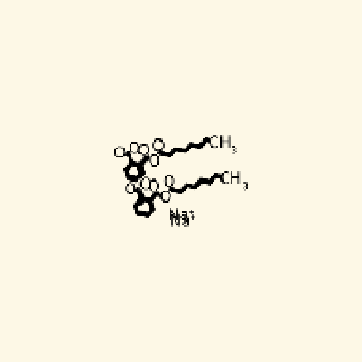 CCCCCCCC(=O)OC(=O)c1ccccc1C(=O)[O-].CCCCCCCC(=O)OC(=O)c1ccccc1C(=O)[O-].[Na+].[Na+]